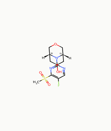 CS(=O)(=O)c1nc(N2[C@@H]3COC[C@H]2CC(O)C3)ncc1F